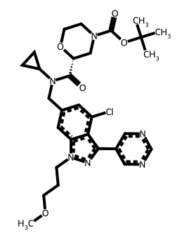 COCCCn1nc(-c2cncnc2)c2c(Cl)cc(CN(C(=O)[C@H]3CN(C(=O)OC(C)(C)C)CCO3)C3CC3)cc21